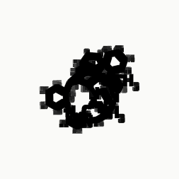 CC1N2C=CN1c1ccccc1CC1c3ccccc3N3C=CN(CCC2)C3CC2N(C)C=CN2c2c1ccc1c2oc2ccccc21